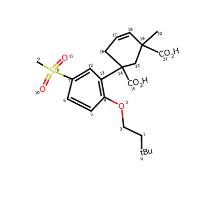 CC(C)(C)CCOc1ccc(S(C)(=O)=O)cc1C1(C(=O)O)CC=CC(C)(C(=O)O)C1